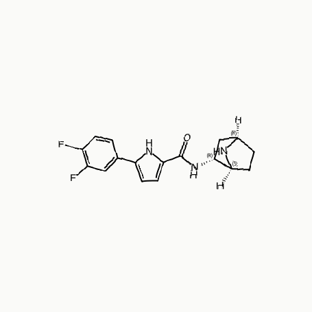 O=C(N[C@@H]1C[C@H]2CC[C@@H]1N2)c1ccc(-c2ccc(F)c(F)c2)[nH]1